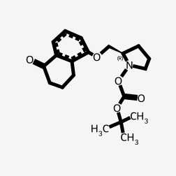 CC(C)(C)OC(=O)ON1CCC[C@@H]1COc1cccc2c1CCCC2=O